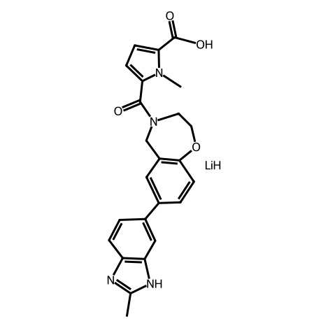 Cc1nc2ccc(-c3ccc4c(c3)CN(C(=O)c3ccc(C(=O)O)n3C)CCO4)cc2[nH]1.[LiH]